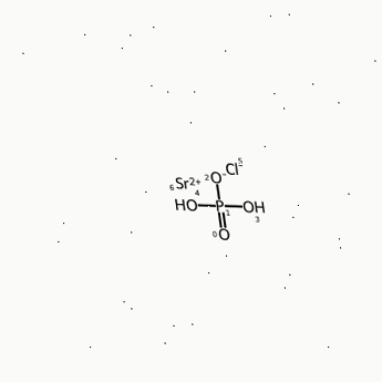 O=P([O-])(O)O.[Cl-].[Sr+2]